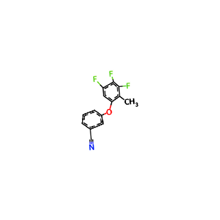 Cc1c(Oc2cccc(C#N)c2)cc(F)c(F)c1F